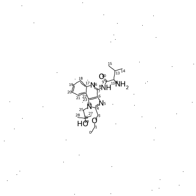 CCOCc1nc2c(NC(=O)C(N)C(C)C)nc3ccccc3c2n1CC(C)(C)O